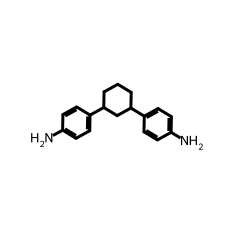 Nc1ccc(C2CCCC(c3ccc(N)cc3)C2)cc1